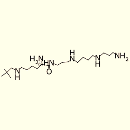 CC(C)(C)CNCCCC[C@H](N)C(=O)NCCCNCCCCNCCCN